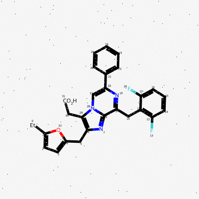 CCc1ccc(Cc2nc3c(Cc4c(F)cccc4F)nc(-c4ccccc4)cn3c2CC(=O)O)o1